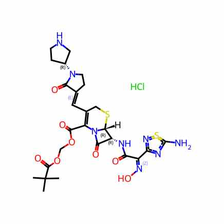 CC(C)(C)C(=O)OCOC(=O)C1=C(/C=C2\CCN([C@@H]3CCNC3)C2=O)CS[C@@H]2[C@H](NC(=O)/C(=N\O)c3nsc(N)n3)C(=O)N12.Cl